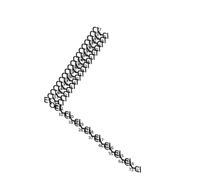 CCOCC.ClCCl.ClCCl.ClCCl.ClCCl.ClCCl.ClCCl.ClCCl.ClCCl.ClCCl.ClCCl.ClCCl.ClCCl.ClCCl.ClCCl.ClCCl.ClCCl.ClCCl.ClCCl.ClCCl.ClCCl.ClCCl.ClCCl.ClCCl.ClCCl.ClCCl